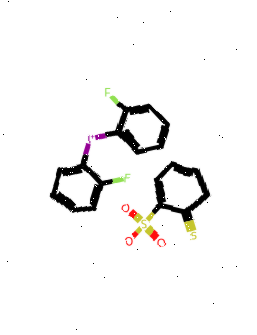 Fc1ccccc1[I+]c1ccccc1F.O=S(=O)([O-])C1=CC=CCC1=S